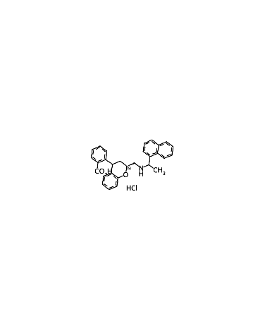 CC(NC[C@@H]1CC(c2ccccc2C(=O)O)c2ccccc2O1)c1cccc2ccccc12.Cl